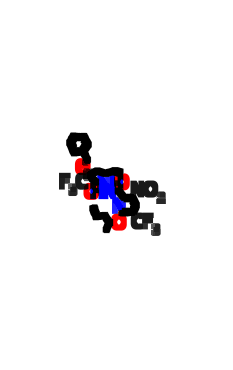 C=CCC[C@@](OCc1ccccc1)(C(=O)NNC(=O)c1nc(OC(C)CC=C)c(C(F)(F)F)cc1[N+](=O)[O-])C(F)(F)F